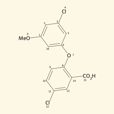 COc1cc(Cl)cc(Oc2ccc(Cl)cc2C(=O)O)c1